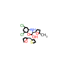 Cc1ccc(C(Nc2cc(Cl)cc(Cl)c2)C(=O)O)o1.c1coc(Cc2cccs2)c1